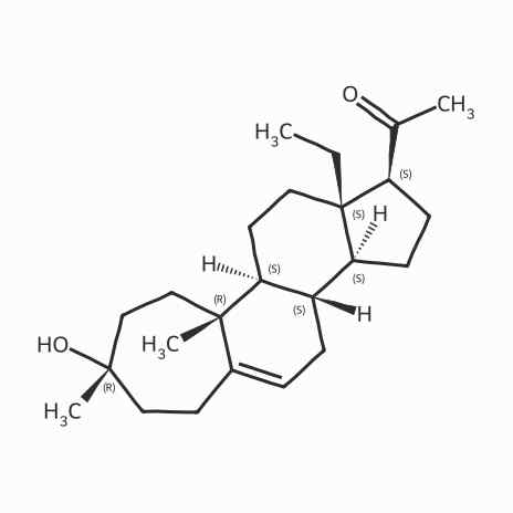 CC[C@]12CC[C@H]3[C@@H](CC=C4CC[C@](C)(O)CC[C@@]43C)[C@@H]1CC[C@@H]2C(C)=O